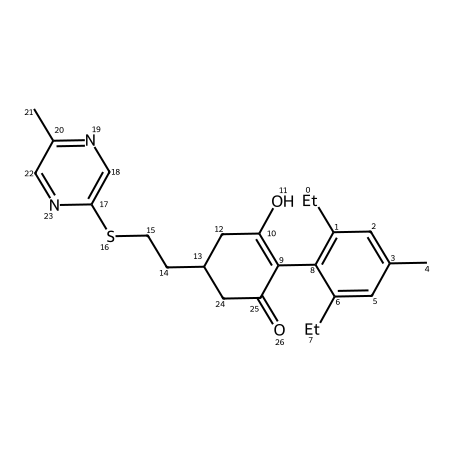 CCc1cc(C)cc(CC)c1C1=C(O)CC(CCSc2cnc(C)cn2)CC1=O